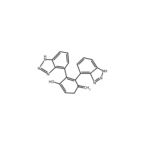 C=C1CC=C(O)C(c2cccc3[nH]nnc23)=C1c1cccc2[nH]nnc12